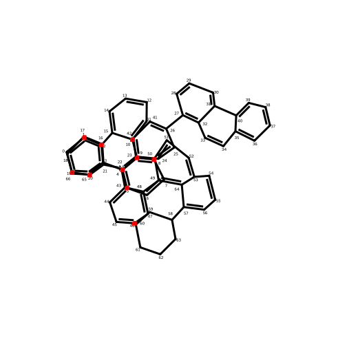 c1ccc(-c2ccccc2-c2ccccc2-c2ccccc2N(c2ccc(-c3cccc4c3ccc3ccccc34)cc2)c2ccccc2-c2cccc3cccc(C4CCCCC4)c23)cc1